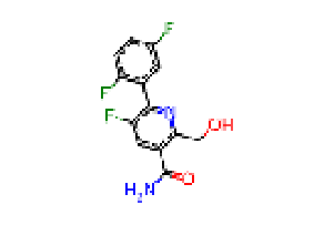 NC(=O)c1cc(F)c(-c2cc(F)ccc2F)nc1CO